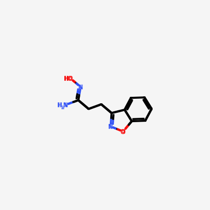 NC(CCc1noc2ccccc12)=NO